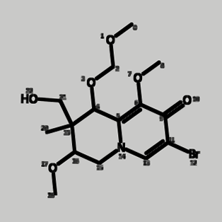 COCOC1c2c(OC)c(=O)c(Br)cn2CC(OC)C1(C)CO